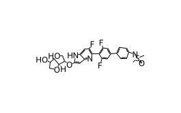 CS(C)(=O)=Nc1ccc(-c2cc(F)c(-c3nc4cc(O[C@@H]5CO[C@H]6[C@@H]5OC[C@H]6O)[nH]c4cc3F)c(F)c2)cc1